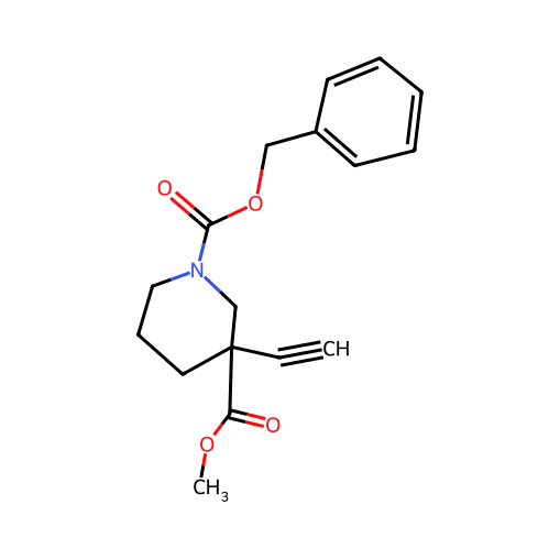 C#CC1(C(=O)OC)CCCN(C(=O)OCc2ccccc2)C1